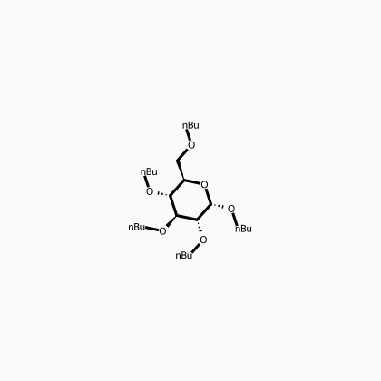 CCCCOC[C@H]1O[C@H](OCCCC)[C@H](OCCCC)[C@@H](OCCCC)[C@@H]1OCCCC